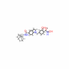 O=C(NCC12CC3CC(CC(C3)C1)C2)c1ccc2c(ccn2Cc2ccc(C(=O)NO)c(O)c2)c1